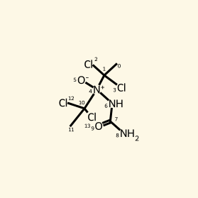 CC(Cl)(Cl)[N+]([O-])(NC(N)=O)C(C)(Cl)Cl